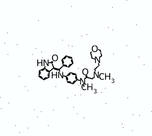 CN(CCN1CCOCC1)CC(=O)N(C)c1ccc(NC(=C2C(=O)Nc3ccccc32)c2ccccc2)cc1